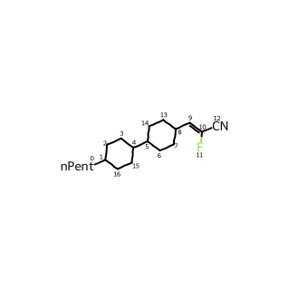 CCCCCC1CCC(C2CCC(C=C(F)C#N)CC2)CC1